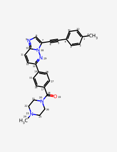 Cc1ccc(C#Cc2cnc3ccc(-c4ccc(C(=O)N5CCN(C)CC5)cc4)nn23)cc1